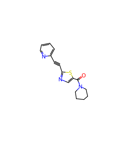 O=C(c1cnc(C#Cc2ccccn2)s1)N1CCCCC1